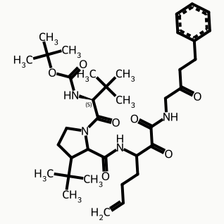 C=CCCC(NC(=O)C1C(C(C)(C)C)CCN1C(=O)[C@@H](NC(=O)OC(C)(C)C)C(C)(C)C)C(=O)C(=O)NCC(=O)CCc1ccccc1